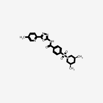 Cc1ccc(-c2nnc(NC(=O)c3ccc(S(=O)(=O)N4C[C@H](C)C[C@H](C)C4)cc3)o2)nc1